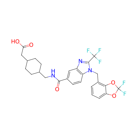 O=C(O)CC1CCC(CNC(=O)c2ccc3c(c2)nc(C(F)(F)F)n3Cc2cccc3c2OC(F)(F)O3)CC1